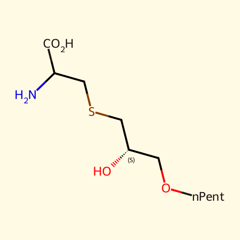 CCCCCOC[C@H](O)CSCC(N)C(=O)O